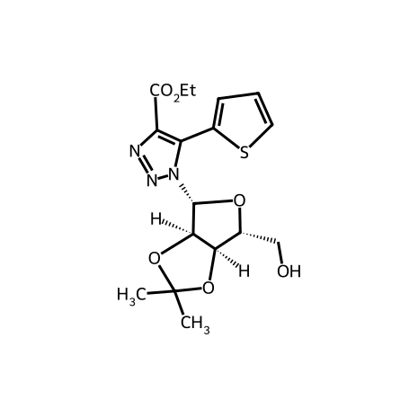 CCOC(=O)c1nnn([C@@H]2O[C@H](CO)[C@H]3OC(C)(C)O[C@H]32)c1-c1cccs1